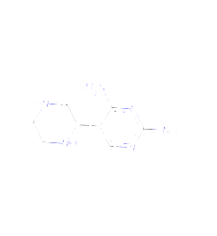 Nc1ncc(C2CNCCN2)c(N)n1